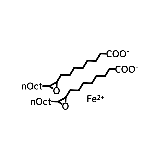 CCCCCCCCC1OC1CCCCCCCC(=O)[O-].CCCCCCCCC1OC1CCCCCCCC(=O)[O-].[Fe+2]